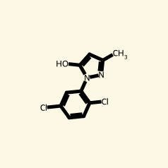 Cc1cc(O)n(-c2cc(Cl)ccc2Cl)n1